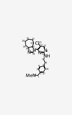 CNCc1ccc(CCNc2ncc(Cl)c(N3C=NC4CCCCCC43)n2)cc1